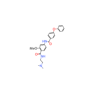 COc1cc(NC(=O)c2ccc(Oc3ccccc3)cc2)ccc1C(=O)NCCN(C)C